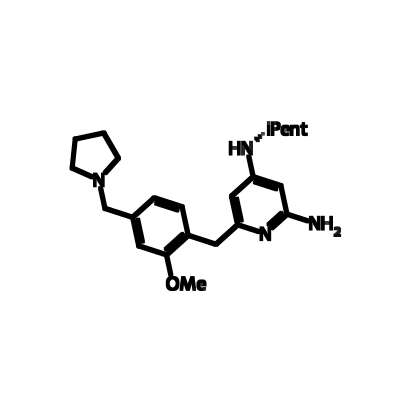 CCC[C@@H](C)Nc1cc(N)nc(Cc2ccc(CN3CCCC3)cc2OC)c1